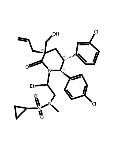 C=CC[C@@]1(CO)C[C@H](c2cccc(Cl)c2)[C@@H](c2ccc(Cl)cc2)N(C(CC)CN(C)S(=O)(=O)C2CC2)C1=O